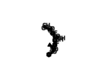 CC(=O)OC[C@H]1CN(c2ccc(OCC3(OP(=O)(O)O)CCN(c4cc5c(cc4F)c(=O)c(C(=O)OCc4ccccc4)cn5C4CC4)CC3)c(F)c2)C(=O)O1